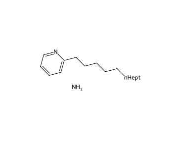 CCCCCCCCCCCCc1ccccn1.N